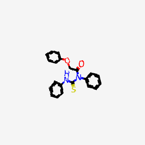 O=C(COc1ccccc1)N(C(=S)Nc1ccccc1)c1ccccc1